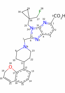 O=C(O)c1ccc2nc(CN3CCC(c4cccc5c4OCC=C5)CC3)n(CC3(CF)CC3)c2n1